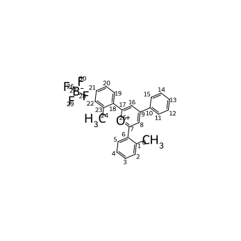 Cc1ccccc1-c1cc(-c2ccccc2)cc(-c2ccccc2C)[o+]1.F[B-](F)(F)F